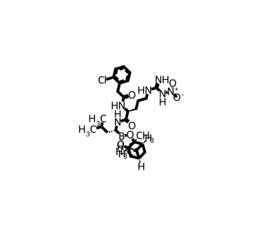 CC(C)C[C@H](NC(=O)[C@H](CCCNC(=N)N[N+](=O)[O-])NC(=O)Cc1ccccc1Cl)B1O[C@@H]2C[C@@H]3C[C@@H](C3(C)C)[C@]2(C)O1